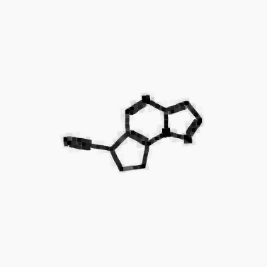 N#CC1CCc2c1cnc1ccnn21